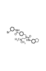 CN(C)CCN(Cc1ccc(C(=O)Nc2cccc(Br)c2)cc1)C(=O)Nc1ccc2c(c1)CCC2